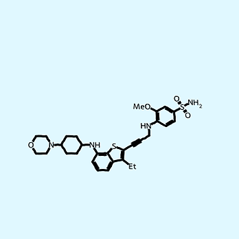 CCc1c(C#CCNc2ccc(S(N)(=O)=O)cc2OC)sc2c(NC3CCC(N4CCOCC4)CC3)cccc12